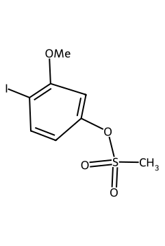 COc1cc(OS(C)(=O)=O)ccc1I